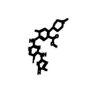 COC(=O)c1cc(Nc2ncc(I)c(Nc3cc(C)[nH]n3)n2)c(C)cc1C1CCN(C)CC1